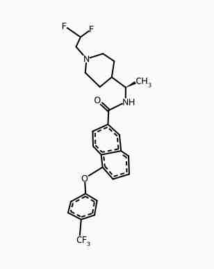 C[C@@H](NC(=O)c1ccc2c(Oc3ccc(C(F)(F)F)cc3)cccc2c1)C1CCN(CC(F)F)CC1